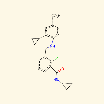 O=C(O)c1ccc(NCc2cccc(C(=O)NC3CC3)c2Cl)c(C2CC2)c1